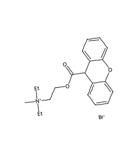 CC[N+](C)(CC)CCOC(=O)C1c2ccccc2Oc2ccccc21.[Br-]